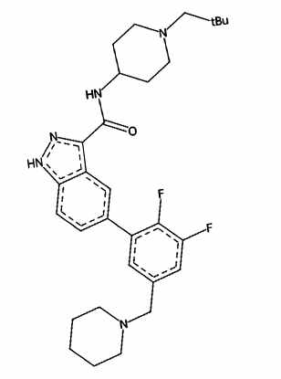 CC(C)(C)CN1CCC(NC(=O)c2n[nH]c3ccc(-c4cc(CN5CCCCC5)cc(F)c4F)cc23)CC1